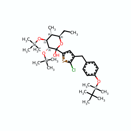 CC[C@H]1OC(O)(c2cc(Cc3ccc(O[Si](C)(C)C(C)(C)C)cc3)c(Cl)s2)[C@H](O[Si](C)(C)C)[C@@H](O[Si](C)(C)C)[C@@H]1C